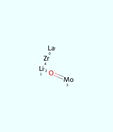 [La].[Li].[O]=[Mo].[Zr]